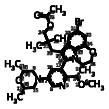 CO[C@@H](C)c1ncc(N2C[C@@H](C)O[C@H](C)C2)cc1-c1c(CC(C)(C)COC(C)=O)c2cc(Br)cc3c2n1CCO3